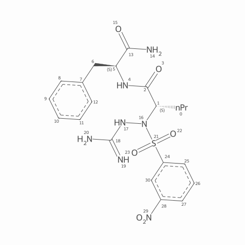 CCC[C@@H](C(=O)N[C@@H](Cc1ccccc1)C(N)=O)N(NC(=N)N)S(=O)(=O)c1cccc([N+](=O)[O-])c1